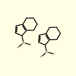 [F][Zr]([F])[CH]1C=CC2=C1CCCC2.[F][Zr]([F])[CH]1C=CC2=C1CCCC2